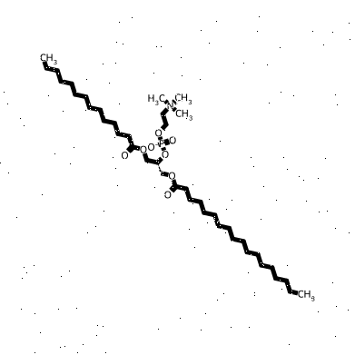 CCCCCCCCCCCCCCCCCC(=O)OC[C@H](COC(=O)CCCCCCCCCCCCC)OP(=O)([O-])OCC[N+](C)(C)C